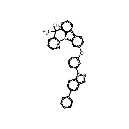 CC1(C)c2cccnc2-n2c3cc(Oc4cccc(-n5ncc6cc(-c7ccccc7)ccc65)c4)ccc3c3cccc1c32